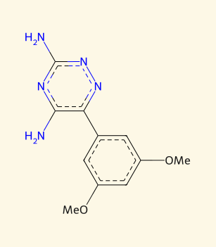 COc1cc(OC)cc(-c2nnc(N)nc2N)c1